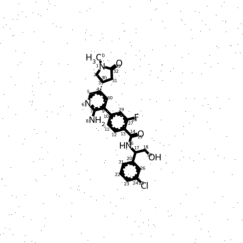 CN1C[C@@H](c2cnc(N)c(-c3ccc(C(=O)NC(CO)c4cccc(Cl)c4)c(F)c3)c2)CC1=O